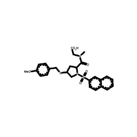 COc1ccc(CSC2CC(C(=O)N(C)CC(=O)O)N(S(=O)(=O)c3ccc4ccccc4c3)C2)cc1